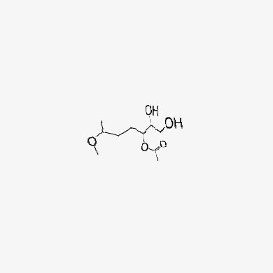 COC(C)CCC(OC(C)=O)C(O)CO